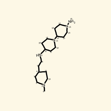 CN1CCC(CCNC2CCN(C3CCN(N)CC3)CC2)CC1